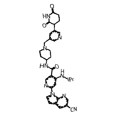 CC(C)Nc1cc(-n2ccc3cc(C#N)cnc32)ncc1C(=O)NC1CCN(Cc2cncc(C3CCC(=O)NC3=O)c2)CC1